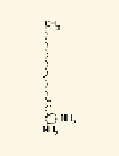 CCCCCCCCCCCCCCCCOCc1cc(N)cc(N)c1